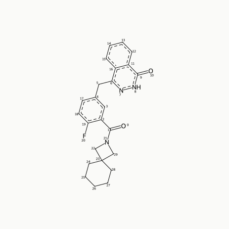 O=C(c1cc(Cc2n[nH]c(=O)c3ccccc23)ccc1F)N1CC2(CCCCC2)C1